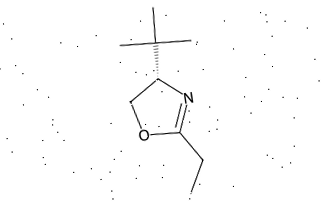 CCC1=N[C@@H](C(C)(C)C)CO1